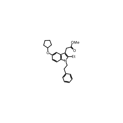 CCc1c(CC(=O)OC)c2cc(OC3CCCC3)ccc2n1CCc1ccccc1